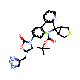 CC(C)(C)OC(=O)NC1(c2ncccc2-c2ccc(N3C[C@@H](Cc4cnn[nH]4)OC3=O)cc2F)C2CSCC21